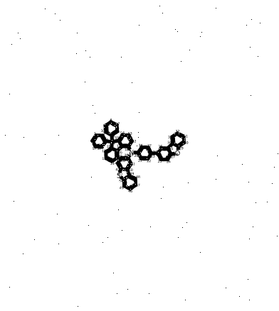 c1ccc(C2(c3ccccc3)c3ccccc3-c3c(N(c4ccc(-c5ccc6oc7ccccc7c6c5)cc4)c4ccc5sc6ccccc6c5c4)cccc32)cc1